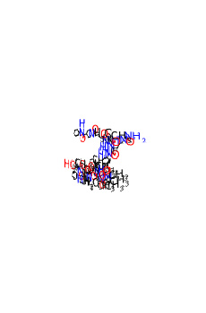 CC[C@H](C)[C@@H]([C@@H](CC(=O)N1CCC[C@H]1[C@H](OC)[C@@H](C)C(=O)N[C@H](C)[C@@H](O)c1ccccc1)OC)N(C)C(=O)[C@@H](NC(=O)[C@H](C(C)C)N(C)C(=O)OCc1ccc(NC(=O)[C@H](CCCNC(N)=O)NC(=O)[C@@H](NC(=O)CCCC(=O)N2CCC(C(=O)Nc3ccccc3)CC2)C(C)C)cc1)C(C)C